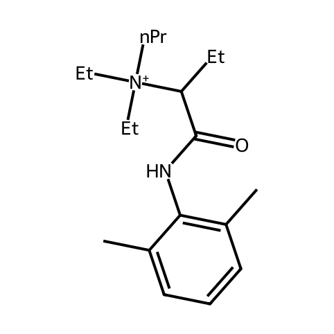 CCC[N+](CC)(CC)C(CC)C(=O)Nc1c(C)cccc1C